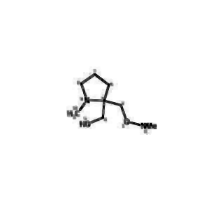 CNOCC1(CO)CCCN1C